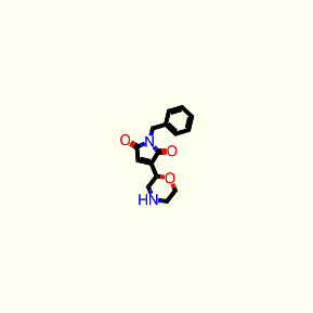 O=C1C=C(C2CNCCO2)C(=O)N1Cc1ccccc1